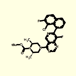 C[C@H]1CN(c2ncnc3c(F)c(-c4cccc5ccc(F)c(Cl)c45)ncc23)C[C@H](C)N1C(=O)OC(C)(C)C